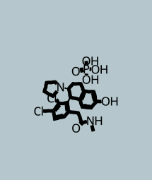 CNC(=O)Cc1ccc(Cl)c(Cl)c1[C@@H]1c2ccc(O)cc2CC[C@H]1N1CCCC1.O=P(O)(O)O